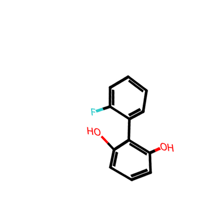 Oc1cccc(O)c1-c1ccccc1F